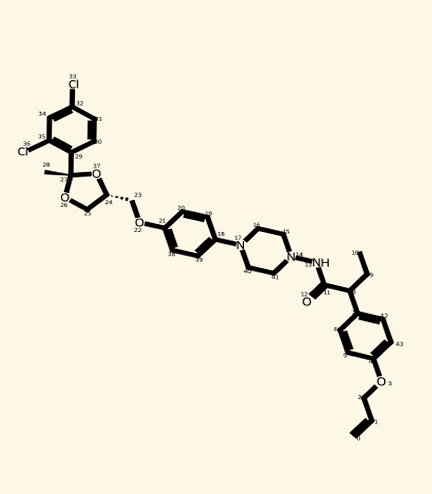 C=CCOc1ccc(C(CC)C(=O)NN2CCN(c3ccc(OC[C@@H]4CO[C@](C)(c5ccc(Cl)cc5Cl)O4)cc3)CC2)cc1